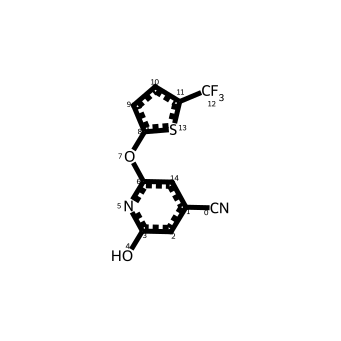 N#Cc1cc(O)nc(Oc2ccc(C(F)(F)F)s2)c1